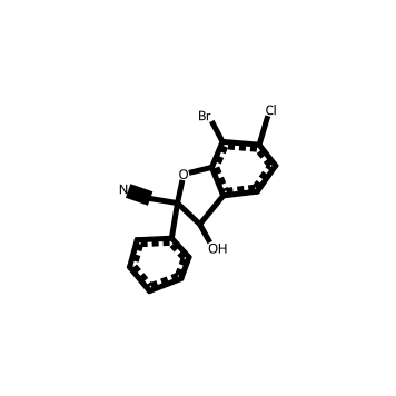 N#CC1(c2ccccc2)Oc2c(ccc(Cl)c2Br)C1O